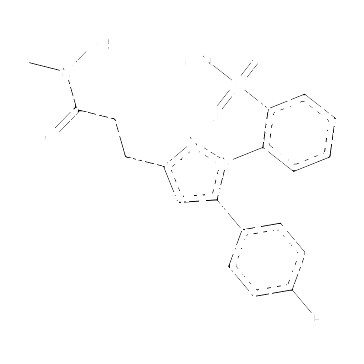 CN(O)C(=O)CCc1cc(-c2ccc(F)cc2)n(-c2ccccc2S(N)(=O)=O)n1